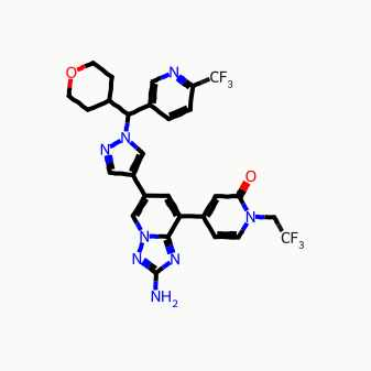 Nc1nc2c(-c3ccn(CC(F)(F)F)c(=O)c3)cc(-c3cnn(C(c4ccc(C(F)(F)F)nc4)C4CCOCC4)c3)cn2n1